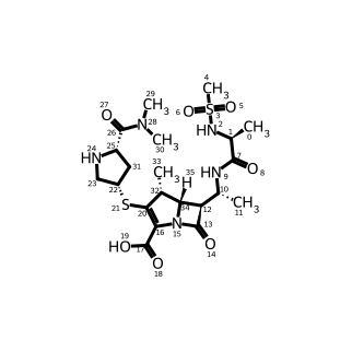 C[C@H](NS(C)(=O)=O)C(=O)N[C@H](C)[C@H]1C(=O)N2C(C(=O)O)=C(S[C@@H]3CN[C@H](C(=O)N(C)C)C3)[C@H](C)[C@H]12